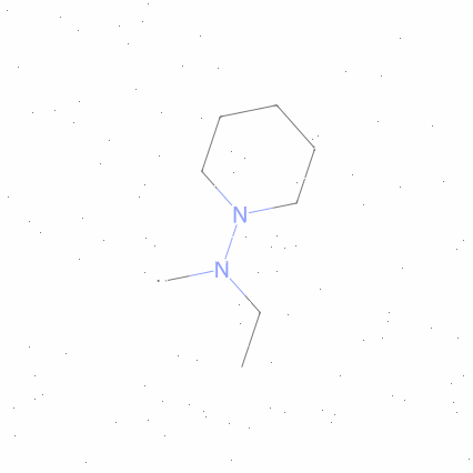 [CH2]N(CC)N1CCCCC1